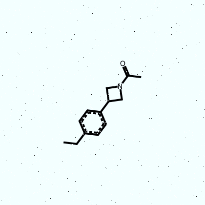 CCc1ccc(C2CN(C(C)=O)C2)cc1